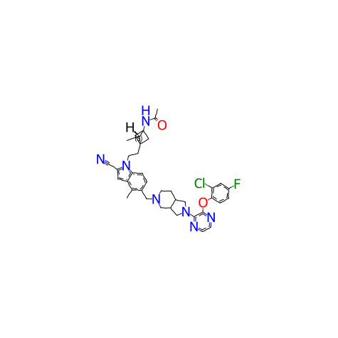 CC(=O)NC12CC(CCn3c(C#N)cc4c(C)c(CN5CCC6CN(c7nccnc7Oc7ccc(F)cc7Cl)CC6C5)ccc43)(C1)[C@@H]2C